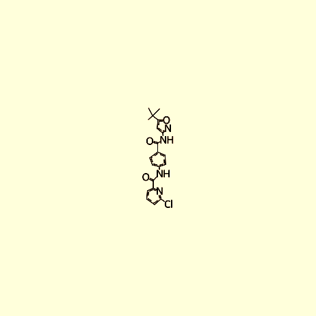 CC(C)(C)c1cc(NC(=O)c2ccc(NC(=O)c3cccc(Cl)n3)cc2)no1